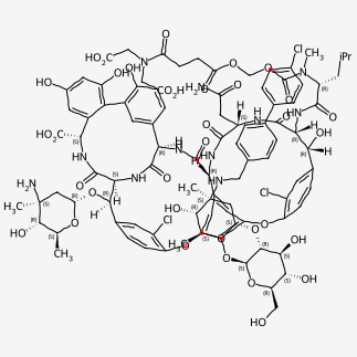 CC(C)C[C@H](C(=O)N[C@H]1C(=O)N[C@@H](CC(N)=O)C(=O)N[C@H]2C(=O)N[C@H]3C(=O)N[C@H](C(=O)N[C@H](C(=O)O)c4cc(O)cc(O)c4-c4cc3ccc4O)[C@H](O[C@H]3C[C@](C)(N)[C@@H](O)[C@H](C)O3)c3ccc(c(Cl)c3)Oc3cc2cc(c3O[C@@H]2O[C@H](CO)[C@@H](O)[C@H](O)[C@H]2O[C@H]2C[C@](C)(NCc3ccc(-c4ccc(Cl)cc4)cc3)[C@@H](O)[C@H](C)O2)Oc2ccc(cc2Cl)[C@H]1O)N(C)C(=O)OCOC(=O)CCC(=O)N(CC(=O)O)CC(=O)O